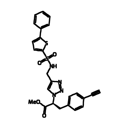 C#Cc1ccc(C[C@@H](C(=O)OC)n2cc(CNS(=O)(=O)c3ccc(-c4ccccc4)s3)nn2)cc1